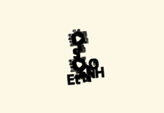 CCc1n[nH]c(=O)c2cc(SCc3ccccc3)ccc12